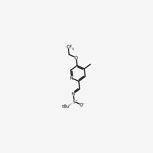 Cc1cc(/C=N/[S@+]([O-])C(C)(C)C)ncc1OCC(F)(F)F